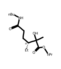 CCCCNC(=O)CC[C@@H](CC)C(C)(O)C(=O)OCCC